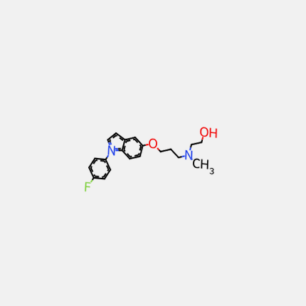 CN(CCO)CCCOc1ccc2c(ccn2-c2ccc(F)cc2)c1